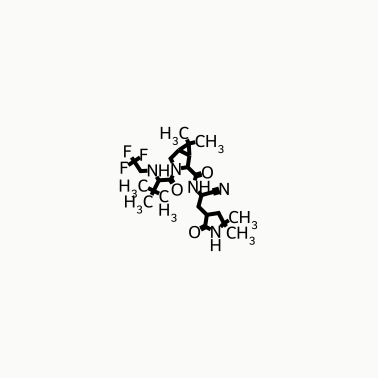 CC1(C)CC(CC(C#N)NC(=O)C2C3C(CN2C(=O)C(NCC(F)(F)F)C(C)(C)C)C3(C)C)C(=O)N1